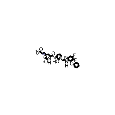 COC(=O)NC(CC/C=C/C(=O)N(C)C)C(=O)Nc1cccn(Cc2nc3cc(F)c(F)c(Oc4ccccc4)c3[nH]2)c1=O